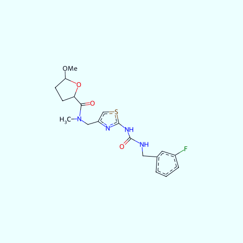 COC1CCC(C(=O)N(C)Cc2csc(NC(=O)NCc3cccc(F)c3)n2)O1